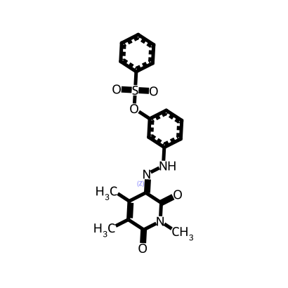 CC1=C(C)/C(=N/Nc2cccc(OS(=O)(=O)c3ccccc3)c2)C(=O)N(C)C1=O